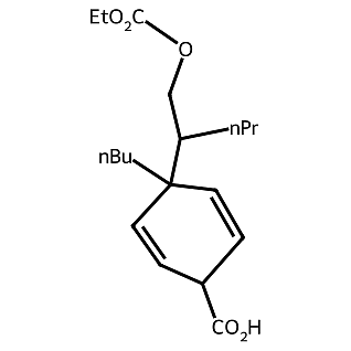 CCCCC1(C(CCC)COC(=O)OCC)C=CC(C(=O)O)C=C1